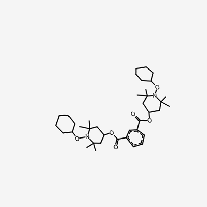 CC1(C)CC(OC(=O)c2cccc(C(=O)OC3CC(C)(C)N(OC4CCCCC4)C(C)(C)C3)c2)CC(C)(C)N1OC1CCCCC1